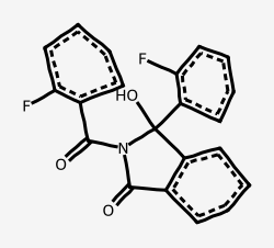 O=C(c1ccccc1F)N1C(=O)c2ccccc2C1(O)c1ccccc1F